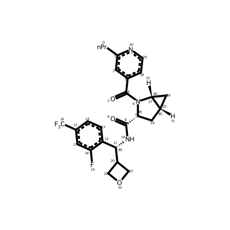 CCCc1cc(C(=O)N2[C@@H](C(=O)N[C@@H](c3ccc(C(F)(F)F)cc3F)C3COC3)C[C@H]3C[C@H]32)ccn1